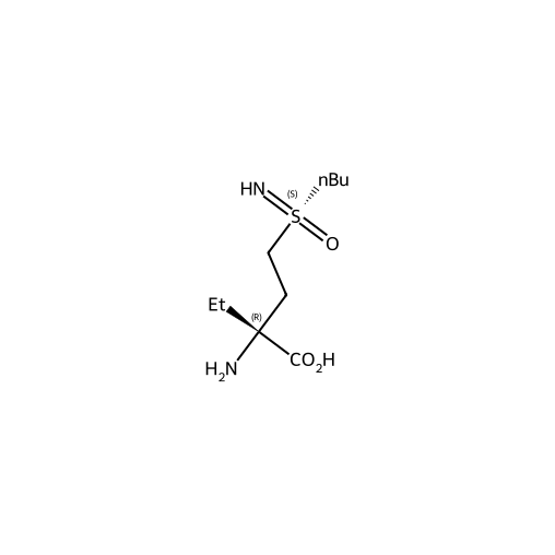 CCCC[S@](=N)(=O)CC[C@](N)(CC)C(=O)O